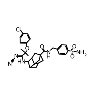 CC(C)(Oc1ccc(Cl)cc1)/C(=N/C#N)NC1C2CC3CC1CC(C(=O)NCc1ccc(S(N)(=O)=O)cc1)(C3)C2